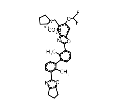 Cc1c(-c2nc3c(o2)CCC3)cccc1-c1cccc(-c2nc3cc(CN4CCC[C@H]4C(=O)O)c(OC(F)F)cc3o2)c1C